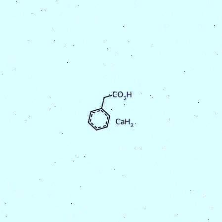 O=C(O)Cc1ccccc1.[CaH2]